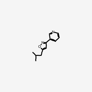 CC(C)Cc1cc(-c2cccnc2)no1